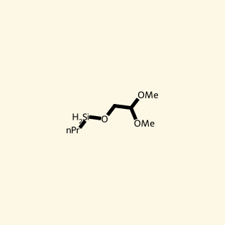 CCC[SiH2]OCC(OC)OC